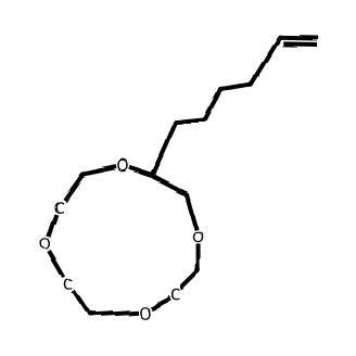 C=CCCCCC1COCCOCCOCCO1